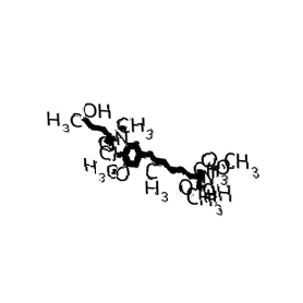 COC(=O)NC(C)(CO)[C@@H](/C=C/C=C(\C)Cc1cc(OC)c(Cl)c(N(C)C(=O)CC[C@H](C)O)c1)OC